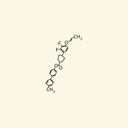 C/C=C/Oc1ccc(C2CCC(C(=O)Oc3ccc(-c4ccc(C)cc4)cc3)CC2)c(F)c1F